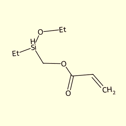 C=CC(=O)OC[SiH](CC)OCC